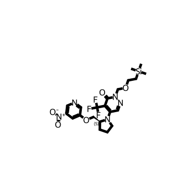 C[Si](C)(C)CCOCn1ncc(N2CCC[C@H]2COc2cncc([N+](=O)[O-])c2)c(C(F)(F)F)c1=O